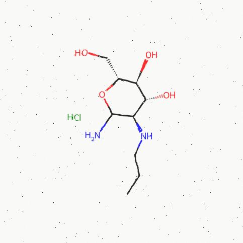 CCCN[C@H]1C(N)O[C@H](CO)[C@@H](O)[C@@H]1O.Cl